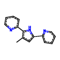 Cc1cc(-c2ccccn2)[nH]c1-c1ccccn1